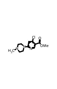 COC(=O)c1cnc(N2CCN(C)CC2)cc1Cl